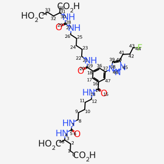 O=C(O)CCC(NC(=O)NCCCCCNC(=O)c1cc(C(=O)NCCCCCNC(=O)NC(CCC(=O)O)C(=O)O)cc(-n2cc(CCCF)nn2)c1)C(=O)O